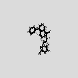 C=C1c2cncc(-c3ccccc3)c2C=CN1Cc1cn2nc(C)ccc2n1